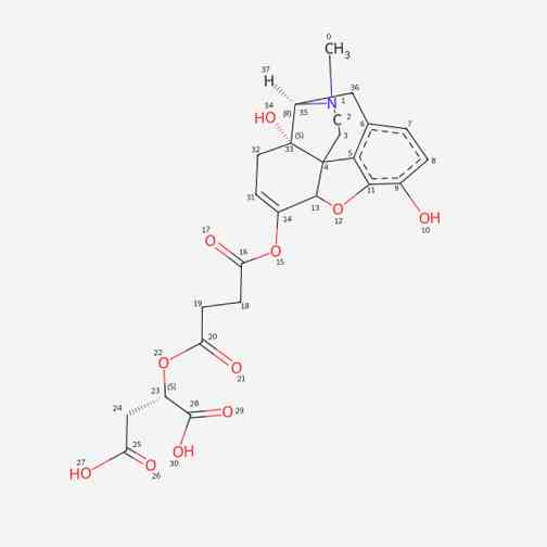 CN1CCC23c4c5ccc(O)c4OC2C(OC(=O)CCC(=O)O[C@@H](CC(=O)O)C(=O)O)=CC[C@@]3(O)[C@H]1C5